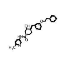 Cc1ccc(NC(=O)N2CC/C(=C\c3cccc(OCCc4ccccc4)c3)C(C)C2)cn1